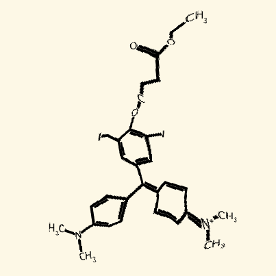 CCOC(=O)CCCOc1c(I)cc(C(=C2C=CC(=[N+](C)C)C=C2)c2ccc(N(C)C)cc2)cc1I